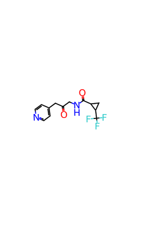 O=C(CNC(=O)C1CC1C(F)(F)F)Cc1ccncc1